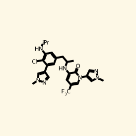 CC(C)Nc1cc(CC(C)Nc2cc(C(F)(F)F)cn(-c3cnn(C)c3)c2=O)cc(-c2cnn(C)c2)c1Cl